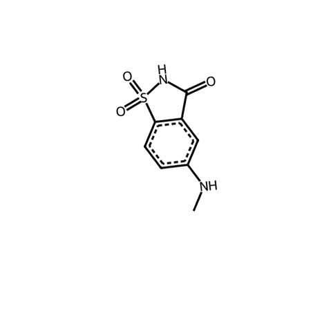 CNc1ccc2c(c1)C(=O)NS2(=O)=O